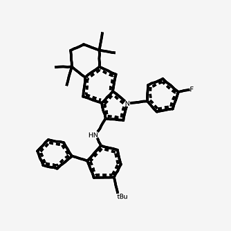 CC(C)(C)c1ccc(Nc2cn(-c3ccc(F)cc3)c3cc4c(cc23)C(C)(C)CCC4(C)C)c(-c2ccccc2)c1